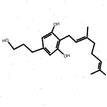 CC(C)=CCC/C(C)=C/Cc1c(O)cc(CCCO)cc1O